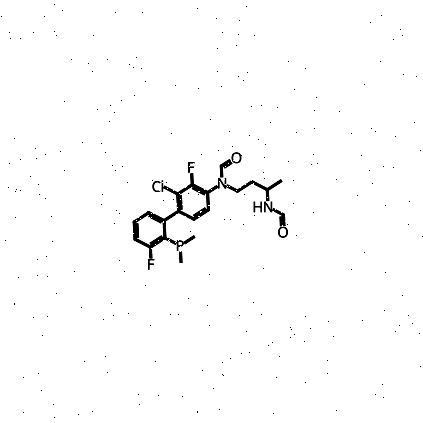 CC(CCN(C=O)c1ccc(-c2cccc(F)c2P(C)C)c(Cl)c1F)NC=O